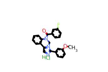 COc1cccc(-c2ncc3n2CN(C(=O)c2cccc(F)c2)c2ccccc2-3)c1.Cl